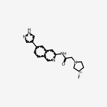 O=C(CN1CC[C@H](F)C1)Nc1cc2cc(-c3cn[nH]c3)ccc2cn1